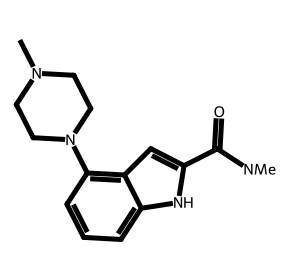 CNC(=O)c1cc2c(N3CCN(C)CC3)cccc2[nH]1